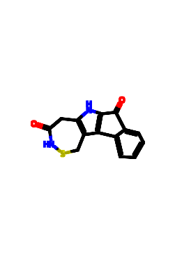 O=C1Cc2[nH]c3c(c2CSN1)-c1ccccc1C3=O